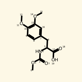 COC(=O)NC(Cc1ccc(OC)c(OC)c1)C(=O)O